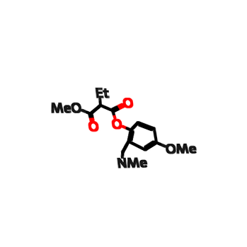 CCC(C(=O)OC)C(=O)Oc1ccc(OC)cc1CNC